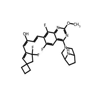 COc1nc(N2CC3CCC(C2)N3)c2cc(F)c(/C=C/C(O)=C\C3=CC4(CCC4)CC3(F)F)c(F)c2n1